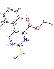 CCOC(=O)c1nc(SC)ncc1-c1ccccc1C